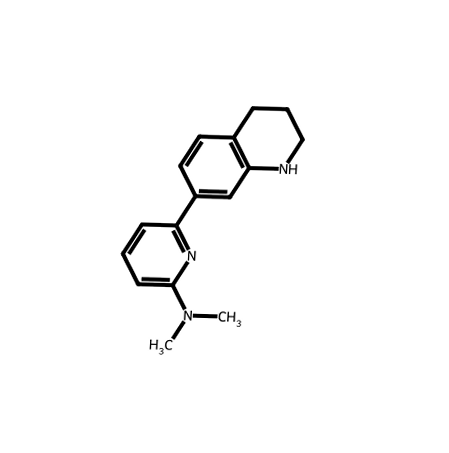 CN(C)c1cccc(-c2ccc3c(c2)NCCC3)n1